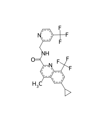 Cc1cc(C(=O)NCc2cc(C(F)(F)F)ccn2)nc2c(C(F)(F)F)cc(C3CC3)cc12